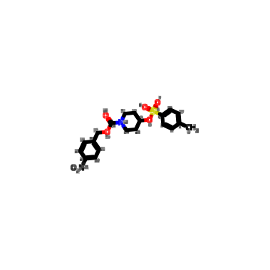 Cc1ccc(S(=O)(=O)OC2CCN(C(=O)OCc3ccc([N+](=O)[O-])cc3)CC2)cc1